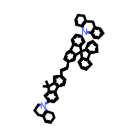 CC1(C)c2cc(/C=C/c3ccc4c(c3)C3(c5ccccc5-c5ccccc53)c3cc(N5C6=C(CCC=C6)Cc6ccccc65)ccc3-4)ccc2-c2ccc(N3CCCC4=C3CCC=C4)cc21